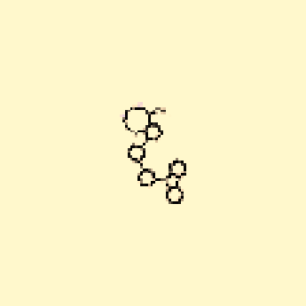 C=C1/C=C\C=C/CSc2c(-c3cccc(-c4cccc(-n5c6ccccc6c6ccccc65)c4)c3)ccnc21